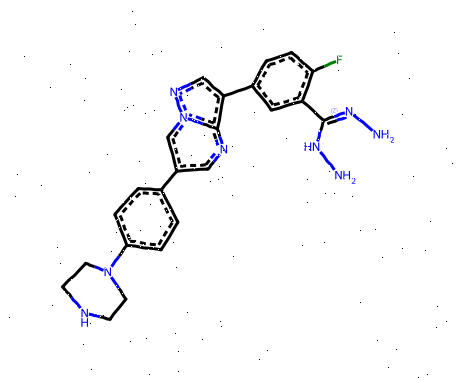 N/N=C(\NN)c1cc(-c2cnn3cc(-c4ccc(N5CCNCC5)cc4)cnc23)ccc1F